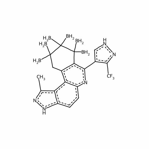 BC1(B)Cc2c(c(-c3c[nH]nc3C(F)(F)F)nc3ccc4[nH]nc(C)c4c23)C(B)(B)C1(B)B